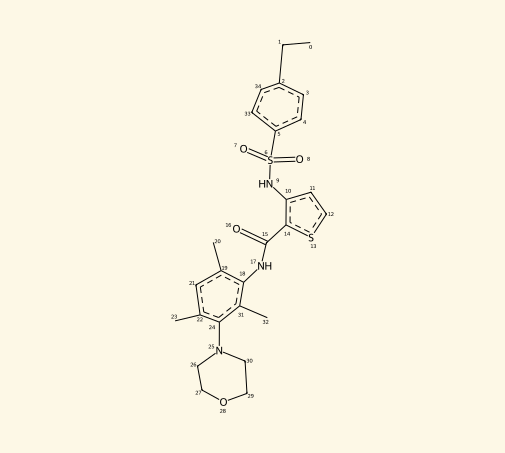 CCc1ccc(S(=O)(=O)Nc2ccsc2C(=O)Nc2c(C)cc(C)c(N3CCOCC3)c2C)cc1